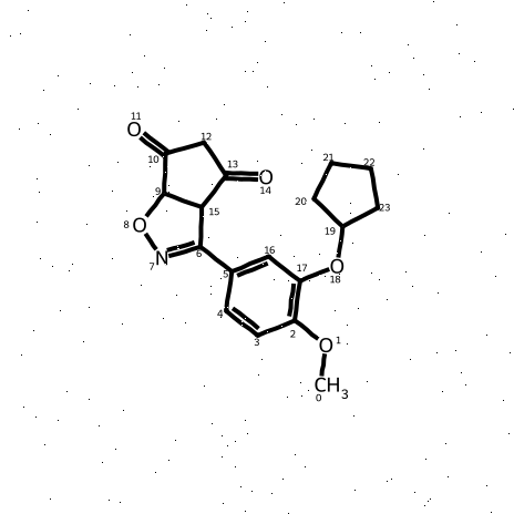 COc1ccc(C2=NOC3C(=O)CC(=O)C23)cc1OC1CCCC1